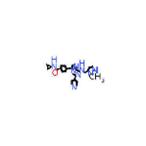 Cn1nccc1CNc1nc(-c2ccncc2)cn2c(-c3ccc(C(=O)NC4CC4)cc3)cnc12